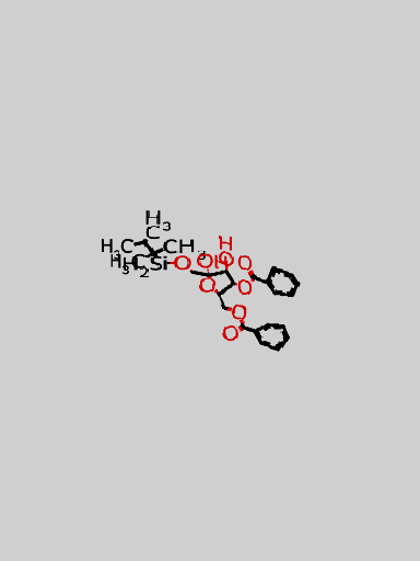 CC(C)C(C)(C)[SiH2]OC[C@]1(O)O[C@H](COC(=O)c2ccccc2)[C@@H](OC(=O)c2ccccc2)[C@@H]1O